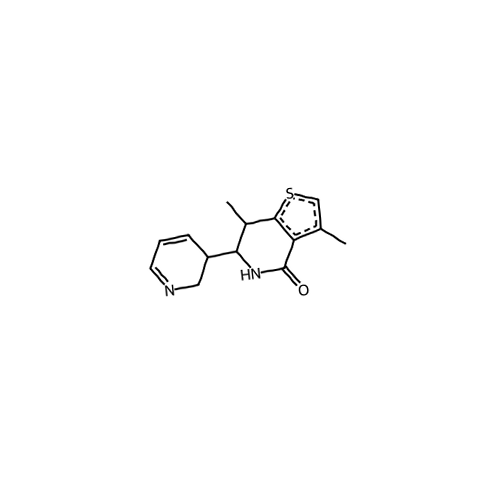 Cc1csc2c1C(=O)NC(C1C=CC=NC1)C2C